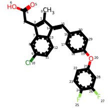 CC1=C(CC(=O)O)c2cc(Cl)ccc2/C1=C\c1ccc(Oc2ccc(F)c(F)c2)cc1